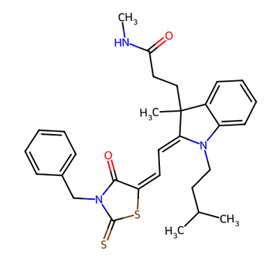 CNC(=O)CCC1(C)/C(=C/C=C2/SC(=S)N(Cc3ccccc3)C2=O)N(CCC(C)C)c2ccccc21